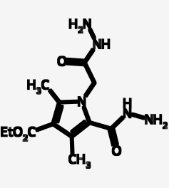 CCOC(=O)c1c(C)c(C(=O)NN)n(CC(=O)NN)c1C